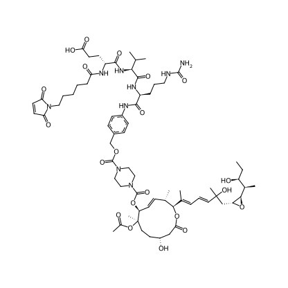 CC[C@H](O)[C@@H](C)[C@H]1O[C@@H]1CC(C)(O)/C=C/C=C(\C)[C@H]1OC(=O)C[C@H](O)CC[C@@](C)(OC(C)=O)[C@@H](OC(=O)N2CCN(C(=O)OCc3ccc(NC(=O)[C@H](CCCNC(N)=O)NC(=O)[C@@H](NC(=O)[C@@H](CCC(=O)O)NC(=O)CCCCCN4C(=O)C=CC4=O)C(C)C)cc3)CC2)/C=C/[C@@H]1C